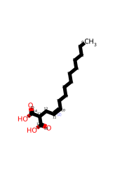 CCCCCCCCCC/C=C\CC(C(=O)O)C(=O)O